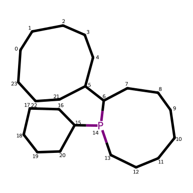 C1CCCCC(C2CCCCCCCP2C2CCCCC2)CCC1